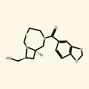 O=C(c1ccc2c(c1)OCO2)N1CCCCN2[C@H](CO)C[C@@H]2C1